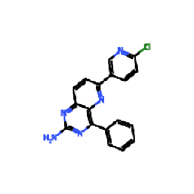 Nc1nc(-c2ccccc2)c2nc(-c3ccc(Cl)nc3)ccc2n1